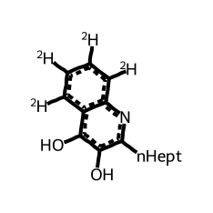 [2H]c1c([2H])c([2H])c2c(O)c(O)c(CCCCCCC)nc2c1[2H]